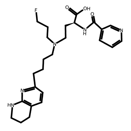 O=C(N[C@@H](CCN(CCCF)CCCCc1ccc2c(n1)NCCC2)C(=O)O)c1cccnc1